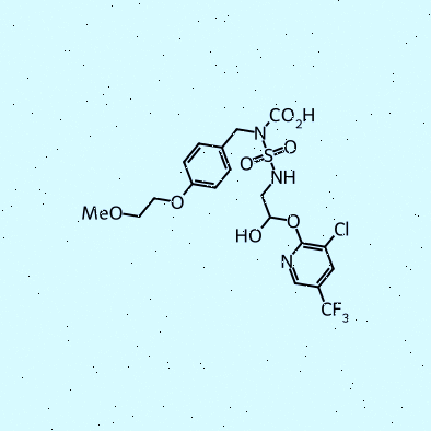 COCCOc1ccc(CN(C(=O)O)S(=O)(=O)NCC(O)Oc2ncc(C(F)(F)F)cc2Cl)cc1